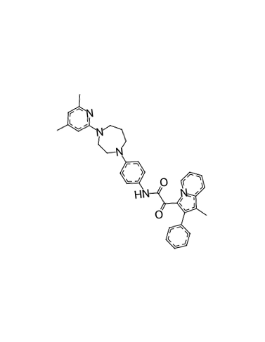 Cc1cc(C)nc(N2CCCN(c3ccc(NC(=O)C(=O)c4c(-c5ccccc5)c(C)c5ccccn45)cc3)CC2)c1